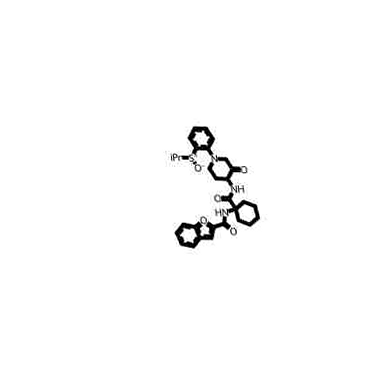 CC(C)[S+]([O-])c1ccccc1N1CCC(NC(=O)C2(NC(=O)c3cc4ccccc4o3)CCCCC2)C(=O)C1